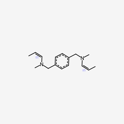 C/C=C\N(C)Cc1ccc(CN(C)/C=C\C)cc1